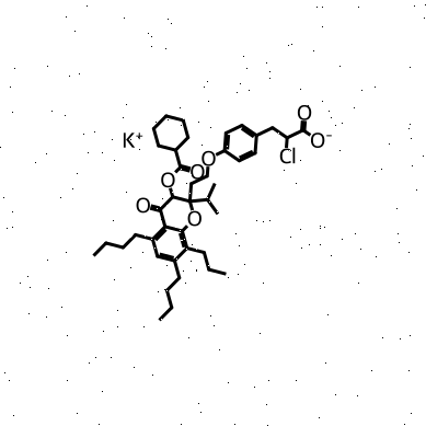 CCCCc1cc(CCCC)c2c(c1CCC)OC(CCOc1ccc(CC(Cl)C(=O)[O-])cc1)(C(C)C)C(OC(=O)C1CCCCC1)C2=O.[K+]